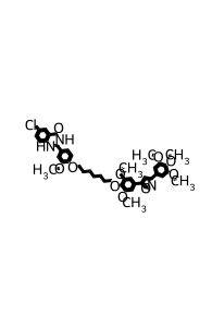 COc1cc(C2NC(=O)c3cc(Cl)ccc3N2)ccc1OCCCCCCCOc1c(OC)cc(-c2cc(-c3cc(OC)c(OC)c(OC)c3)no2)cc1OC